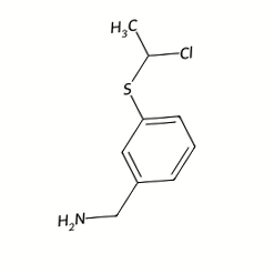 CC(Cl)Sc1cccc(CN)c1